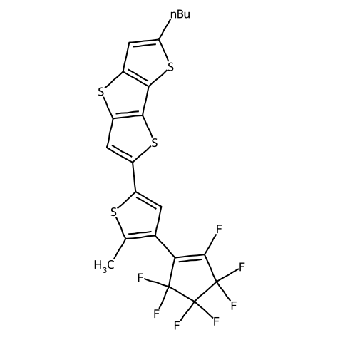 CCCCc1cc2sc3cc(-c4cc(C5=C(F)C(F)(F)C(F)(F)C5(F)F)c(C)s4)sc3c2s1